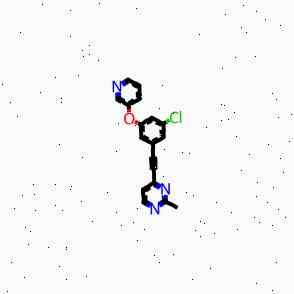 Cc1nccc(C#Cc2cc(Cl)cc(Oc3cccnc3)c2)n1